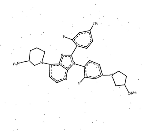 COC1CCN(c2ccc(-n3c(-c4ccc(C#N)cc4F)nc4c(N5CCCC(N)C5)ccnc43)c(F)c2)C1